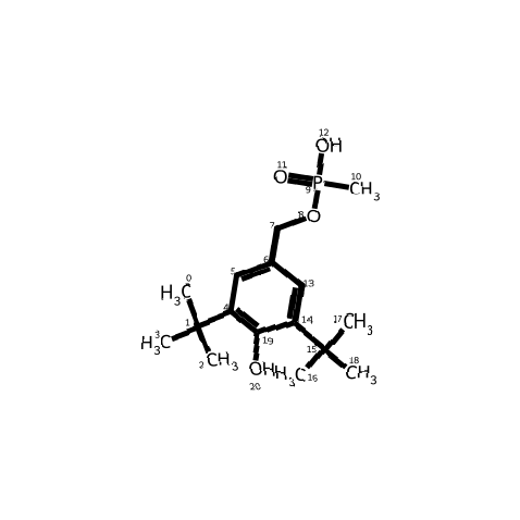 CC(C)(C)c1cc(COP(C)(=O)O)cc(C(C)(C)C)c1O